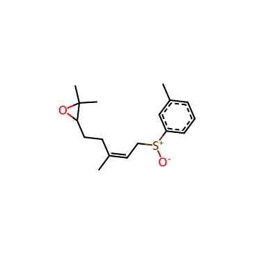 CC(=CC[S+]([O-])c1cccc(C)c1)CCC1OC1(C)C